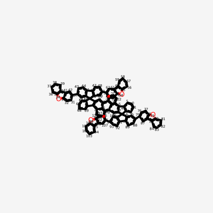 c1ccc2c(c1)-c1c(cc3c4cccc5c6c(cc(c7cccc1c73)c54)C1(c3cc(-c4ccc5oc7ccccc7c5c4)ccc3-c3ccc(-c4ccc5oc7ccccc7c5c4)cc31)c1ccccc1-6)C21c2cc(-c3ccc4oc5ccccc5c4c3)ccc2-c2ccc(-c3ccc4oc5ccccc5c4c3)cc21